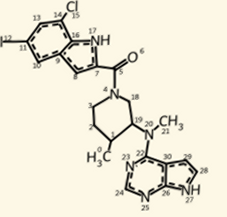 CC1CCN(C(=O)c2cc3cc(Cl)cc(Cl)c3[nH]2)CC1N(C)c1ncnc2[nH]ccc12